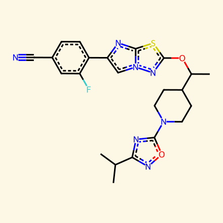 CC(C)c1noc(N2CCC(C(C)Oc3nn4cc(-c5ccc(C#N)cc5F)nc4s3)CC2)n1